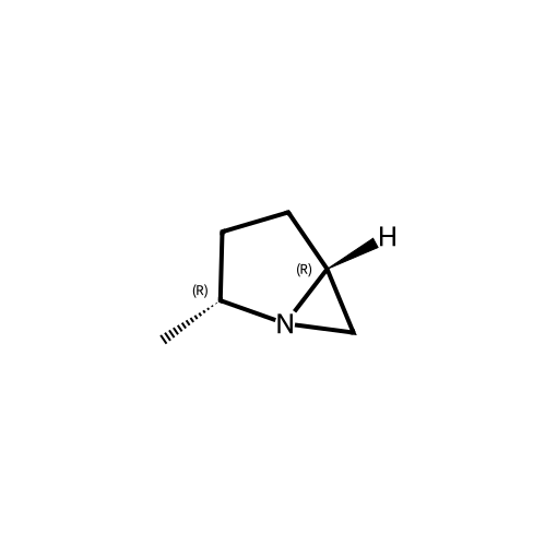 C[C@@H]1CC[C@@H]2CN21